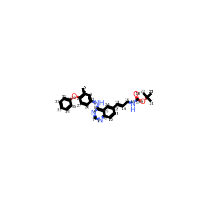 Cc1cc(Nc2ncnc3ccc(/C=C/CNC(=O)OC(C)(C)C)cc23)ccc1Oc1ccccc1